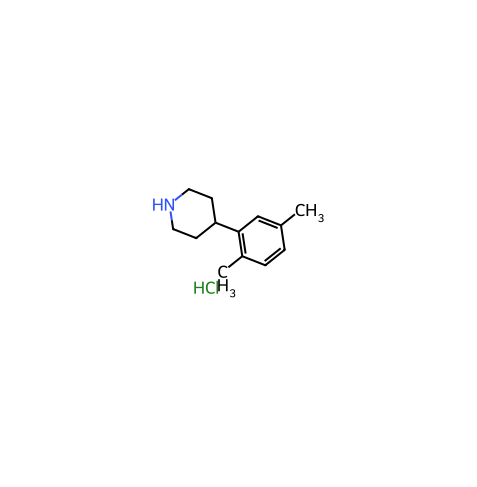 Cc1ccc(C)c(C2CCNCC2)c1.Cl